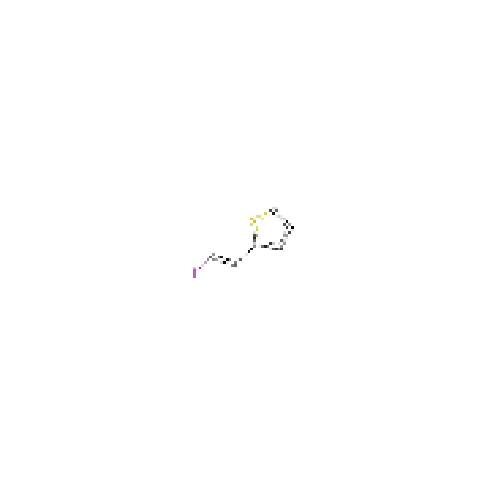 IC=Cc1cccs1